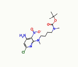 CN(CCCCN(C)c1nc(Cl)cc(N)c1[N+](=O)[O-])C(=O)OC(C)(C)C